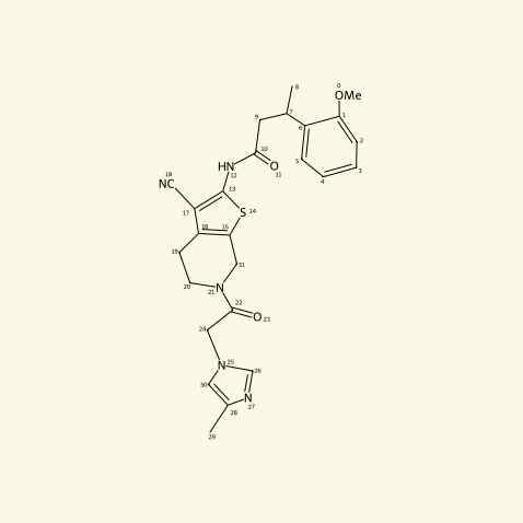 COc1ccccc1C(C)CC(=O)Nc1sc2c(c1C#N)CCN(C(=O)Cn1cnc(C)c1)C2